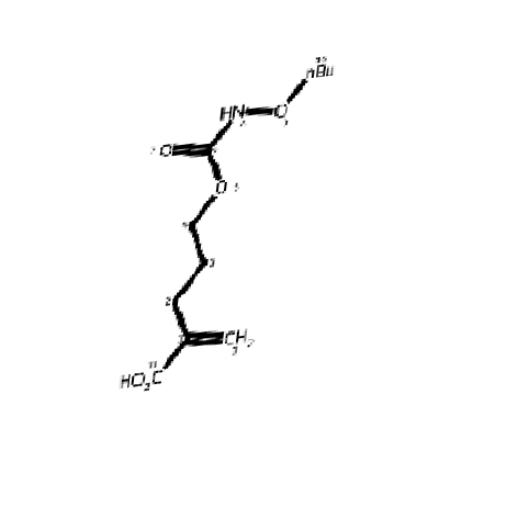 C=C(CCCOC(=O)NOCCCC)C(=O)O